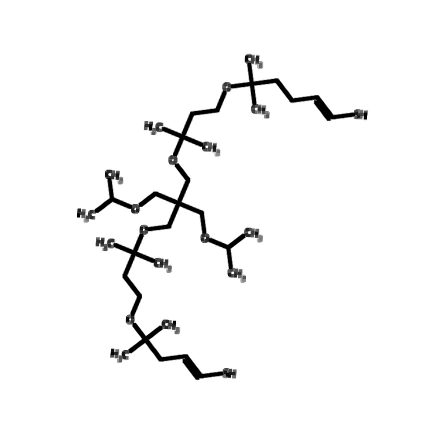 CC(C)OCC(COC(C)C)(COC(C)(C)CCOC(C)(C)CC=CS)COC(C)(C)CCOC(C)(C)CCC=CS